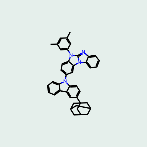 Cc1cc(C)cc(-n2c3ccc(-n4c5ccccc5c5cc(C67CC8CC(CC(C8)C6)C7)ccc54)cc3n3c4ccccc4nc23)c1